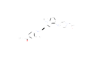 COC(=O)c1ccc(NCC#Cc2cc3c(N[C@@H]4CCN(CC(C)O)C[C@@H]4F)cccc3n2CC(F)(F)F)c(OC)c1